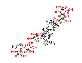 CC(=O)OC[C@H]1O[C@@H](OC[C@H]2O[C@@H](OC(=O)[C@]34CCC(C)(C)C[C@H]3C3=CC[C@@H]5[C@@]6(C)CC[C@H](O[C@@H]7OC[C@H](O)[C@H](O)[C@H]7O[C@@H]7O[C@H](CO)[C@@H](O)[C@H](O)[C@H]7O)C(C)(C)[C@@H]6CC[C@@]5(C)[C@]3(C)CC4)[C@H](O)[C@@H](O)[C@@H]2O)[C@H](O)[C@@H](O)[C@@H]1O[C@@H]1O[C@@H](C)[C@H](O)[C@@H](O)[C@H]1O